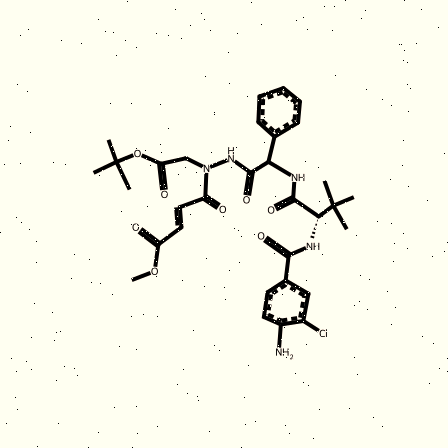 COC(=O)/C=C/C(=O)N(CC(=O)OC(C)(C)C)NC(=O)C(NC(=O)[C@@H](NC(=O)c1ccc(N)c(Cl)c1)C(C)(C)C)c1ccccc1